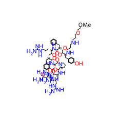 COCCOCCCNCCC(=O)N[C@@H](Cc1ccc(O)cc1)C(=O)C[C@@H](Cc1ccccc1)C(=O)N[C@@H](CCCNC(=N)N)C(=O)C[C@@H](Cc1ccccc1)C(=O)N[C@@H](CCCNC(=N)N)C(=O)N1CCC[C@H]1C(=O)N[C@@H](CCCNC(=N)N)C(=O)N[C@@H](CC(N)=O)C(N)=O